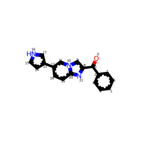 O=C(c1ccccc1)c1cn2cc(-c3cc[nH]c3)ccc2n1